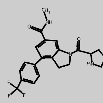 CNC(=O)c1cc(-c2ccc(C(F)(F)F)cc2)c2c(c1)N(C(=O)C1CCCN1)CC2